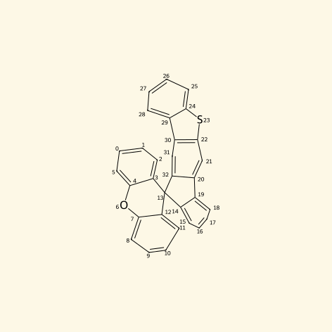 c1ccc2c(c1)Oc1ccccc1C21c2ccccc2-c2cc3sc4ccccc4c3cc21